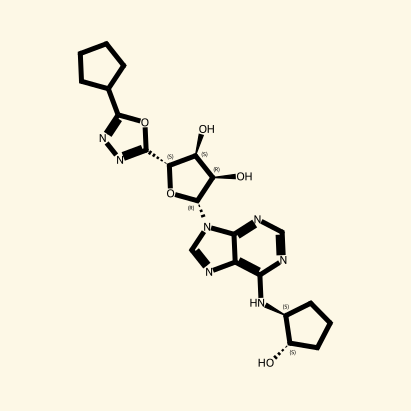 O[C@@H]1[C@H](O)[C@@H](c2nnc(C3CCCC3)o2)O[C@H]1n1cnc2c(N[C@H]3CCC[C@@H]3O)ncnc21